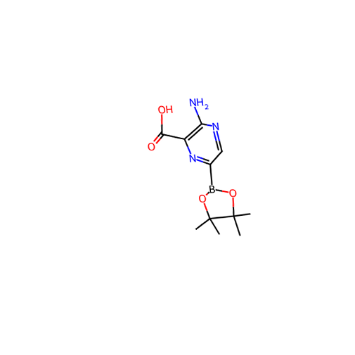 CC1(C)OB(c2cnc(N)c(C(=O)O)n2)OC1(C)C